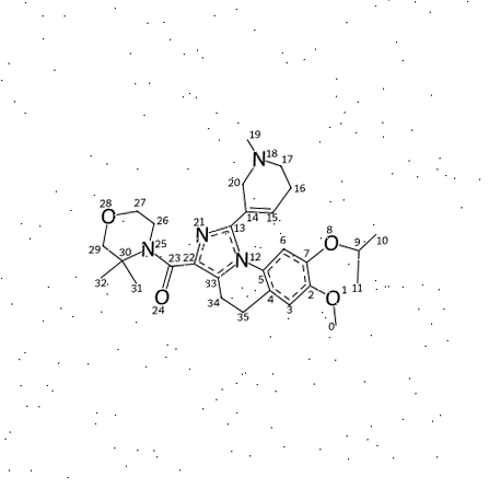 COc1cc2c(cc1OC(C)C)-n1c(C3=CCCN(C)C3)nc(C(=O)N3CCOCC3(C)C)c1CC2